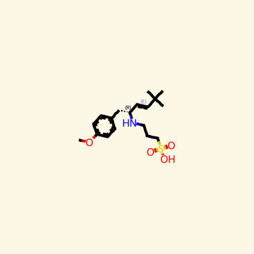 COc1ccc(C[C@H](/C=C/C(C)(C)C)NCCCS(=O)(=O)O)cc1